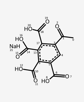 CC(=O)c1cc(C(=O)O)c(C(=O)O)c(C(=O)O)c1C(=O)O.[NaH]